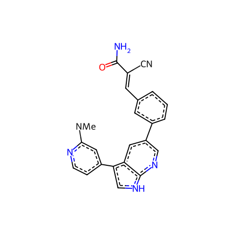 CNc1cc(-c2c[nH]c3ncc(-c4cccc(/C=C(\C#N)C(N)=O)c4)cc23)ccn1